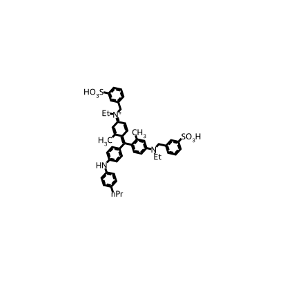 CCCc1ccc(Nc2ccc(/C(=C3C=C/C(=[N+](/CC)Cc4cccc(S(=O)(=O)O)c4)C=C/3C)c3ccc(N(CC)Cc4cccc(S(=O)(=O)O)c4)cc3C)cc2)cc1